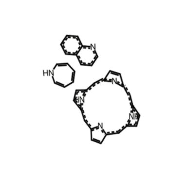 C1=CC=CNC=C1.C1=Cc2cc3ccc(cc4nc(cc5ccc(cc1n2)[nH]5)C=C4)[nH]3.c1ccc2ncccc2c1